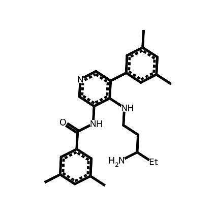 CCC(N)CCNc1c(NC(=O)c2cc(C)cc(C)c2)cncc1-c1cc(C)cc(C)c1